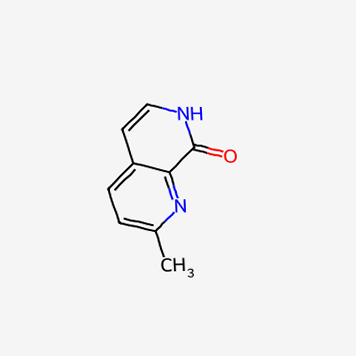 Cc1ccc2cc[nH]c(=O)c2n1